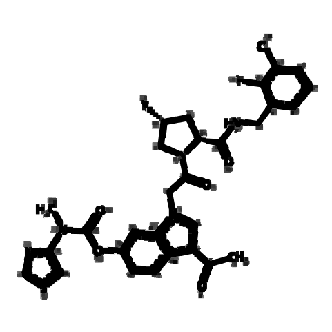 CC(=O)c1cn(CC(=O)N2C[C@H](F)C[C@H]2C(=O)NCc2cccc(Cl)c2F)c2cc(OC(=O)N(C)c3cscn3)ccc12